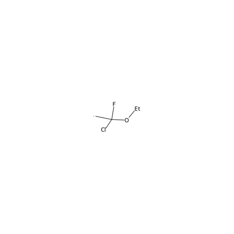 [CH2]C(F)(Cl)OCC